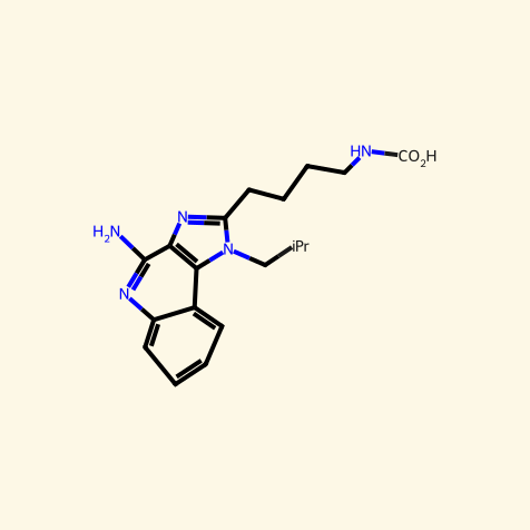 CC(C)Cn1c(CCCCNC(=O)O)nc2c(N)nc3ccccc3c21